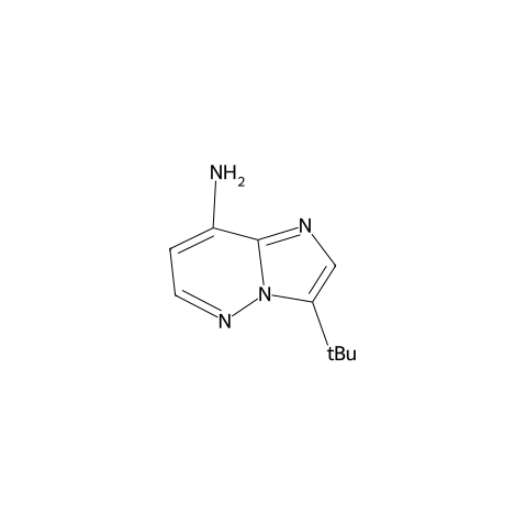 CC(C)(C)c1cnc2c(N)ccnn12